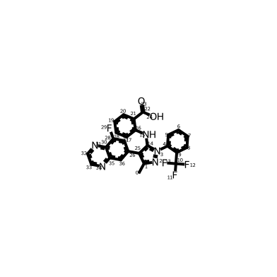 Cc1nn(-c2ccccc2C(F)(F)F)c(Nc2ccccc2C(=O)O)c1-c1cc(F)c2nccnc2c1